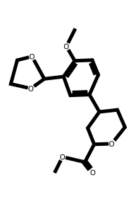 COC(=O)C1CC(c2ccc(OC)c(C3OCCO3)c2)CCO1